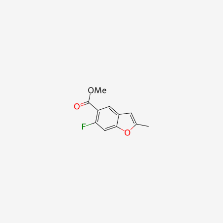 COC(=O)c1cc2cc(C)oc2cc1F